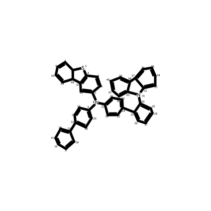 C1=CC2Sc3ccc(N(c4ccc(-c5ccccc5)cc4)c4ccc(-c5ccccc5-n5c6ccccc6c6ccccc65)cc4)cc3C2C=C1